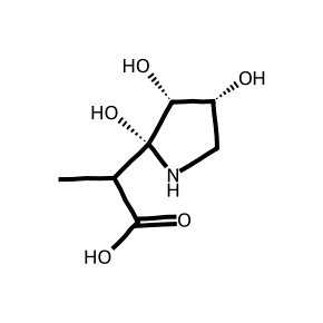 CC(C(=O)O)[C@]1(O)NC[C@@H](O)[C@H]1O